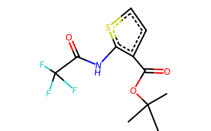 CC(C)(C)OC(=O)c1ccsc1NC(=O)C(F)(F)F